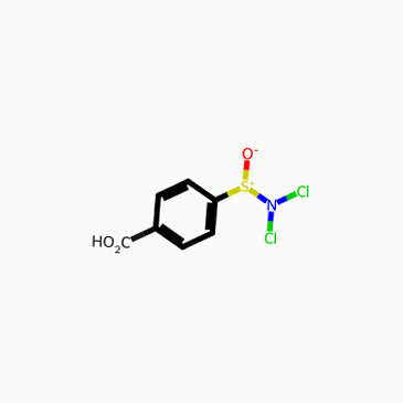 O=C(O)c1ccc([S+]([O-])N(Cl)Cl)cc1